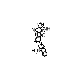 CC1(C)CC2=C(CC1N1CCC3(CC1)Cc1ccccc1C3N)C(=O)C(c1n[nH]c3ncncc13)C(C#N)=N2